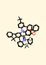 CC(C)(C)c1ccc(N2c3cc4c(cc3B3c5c2cc2c(c5-c5cccc6c5N3c3ccccc3[Si]6(C)C)C(C)(C)c3ccccc3-2)oc2ccccc24)c(-c2ccccc2)c1